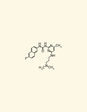 Cc1cc(NCCCN(C)C)nc(NC(=O)Nc2ccc3cc(F)ccc3c2)n1